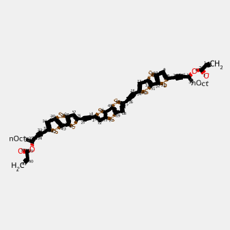 C=CC(=O)OC(C#Cc1cc2sc3cc(C#Cc4cc5sc6cc(C#Cc7cc8sc9cc(C#CC(CCCCCCCC)OC(=O)C=C)sc9c8s7)sc6c5s4)sc3c2s1)CCCCCCCC